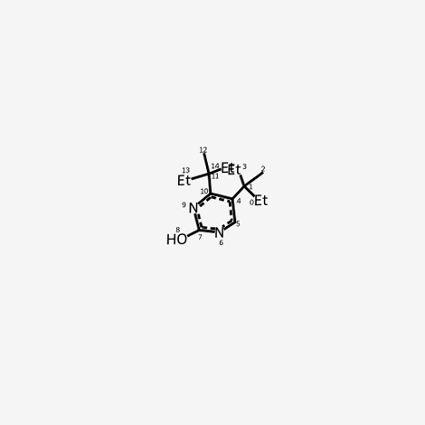 CCC(C)(CC)c1cnc(O)nc1C(C)(CC)CC